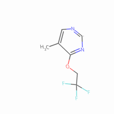 Cc1cn[c]nc1OCC(F)(F)F